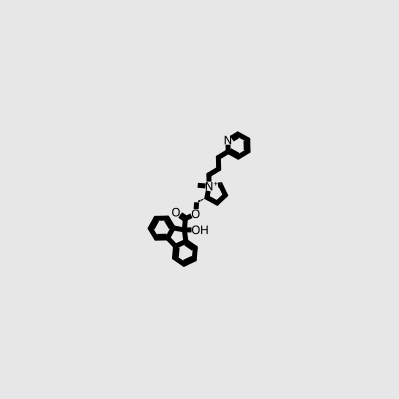 C[N+]1(CCCc2ccccn2)CCC[C@@H]1COC(=O)C1(O)c2ccccc2-c2ccccc21